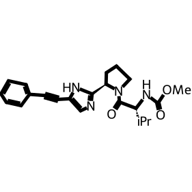 COC(=O)N[C@@H](C(=O)N1CCC[C@@H]1c1ncc(C#Cc2ccccc2)[nH]1)C(C)C